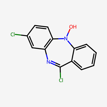 ON1c2ccc(Cl)cc2N=C(Cl)c2ccccc21